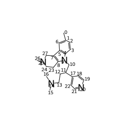 Cc1ccc2c(c1)c1c(n2CC(CCN(C)C)c2ccncc2)CCN(C)C1